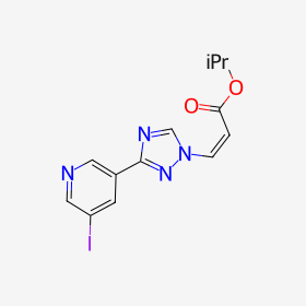 CC(C)OC(=O)/C=C\n1cnc(-c2cncc(I)c2)n1